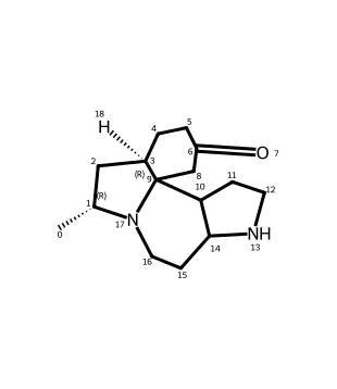 C[C@@H]1C[C@H]2CCC(=O)CC23C2CCNC2CCN13